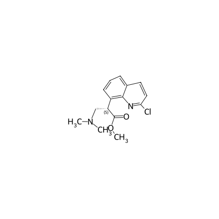 COC(=O)[C@H](CN(C)C)c1cccc2ccc(Cl)nc12